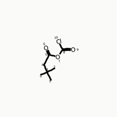 CC(C)(C)CC(=O)OC(=O)Cl